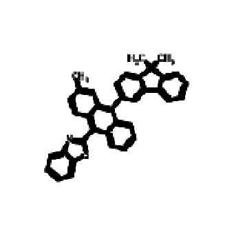 Cc1ccc2c(-c3nc4ccccc4s3)c3ccccc3c(-c3ccc4c(c3)-c3ccccc3C4(C)C)c2c1